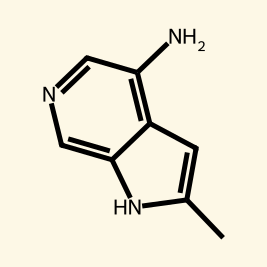 Cc1cc2c(N)cncc2[nH]1